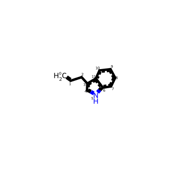 C=CCc1[c][nH]c2ccccc12